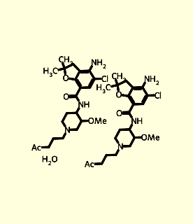 COC1CN(CCCC(C)=O)CCC1NC(=O)c1cc(Cl)c(N)c2c1OC(C)(C)C2.COC1CN(CCCC(C)=O)CCC1NC(=O)c1cc(Cl)c(N)c2c1OC(C)(C)C2.O